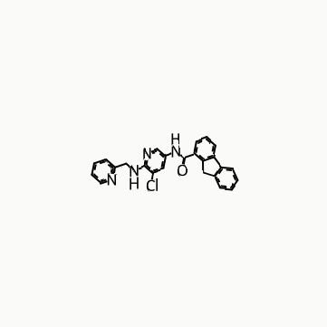 O=C(Nc1cnc(NCc2ccccn2)c(Cl)c1)c1cccc2c1Cc1ccccc1-2